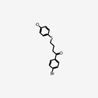 [O]c1ccc(SCCCC(=O)c2ccc(Br)cc2)cc1